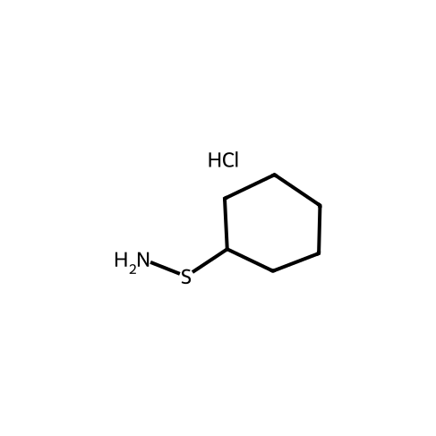 Cl.NSC1CCCCC1